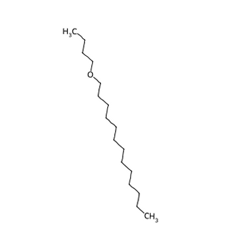 CCCCCCCCCCCCCOCCCC